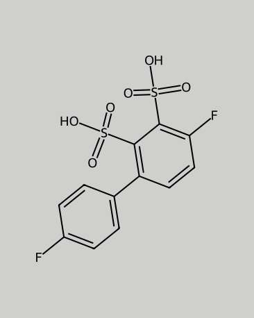 O=S(=O)(O)c1c(F)ccc(-c2ccc(F)cc2)c1S(=O)(=O)O